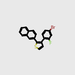 Fc1cc(Br)ccc1-c1ccsc1-c1ccc2ccccc2c1